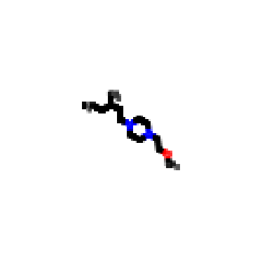 CCC(C)CCN1CCN(CCOC)CC1